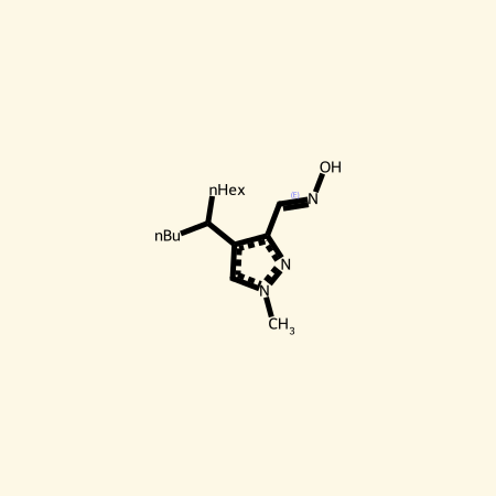 CCCCCCC(CCCC)c1cn(C)nc1/C=N/O